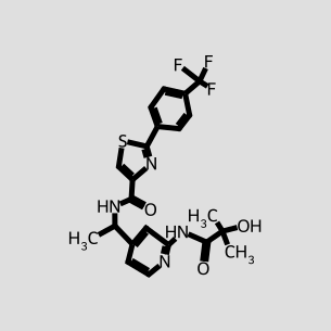 CC(NC(=O)c1csc(-c2ccc(C(F)(F)F)cc2)n1)c1ccnc(NC(=O)C(C)(C)O)c1